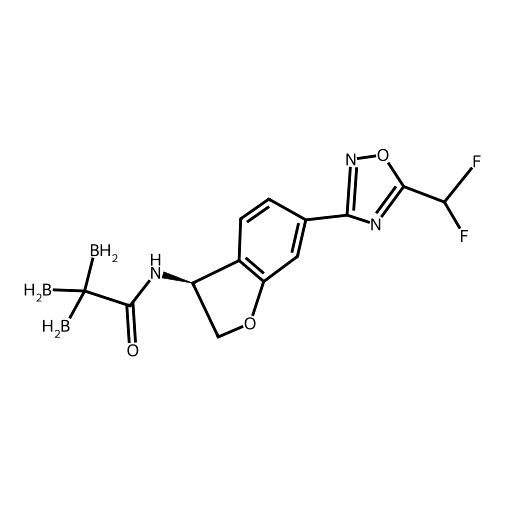 BC(B)(B)C(=O)N[C@@H]1COc2cc(-c3noc(C(F)F)n3)ccc21